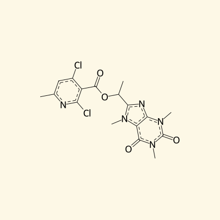 Cc1cc(Cl)c(C(=O)OC(C)c2nc3c(c(=O)n(C)c(=O)n3C)n2C)c(Cl)n1